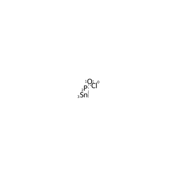 [Cl].[O].[P].[Sn]